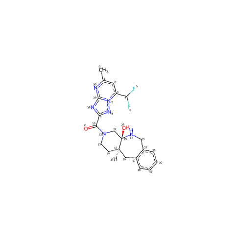 Cc1cc(C(F)F)n2nc(C(=O)N3CC[C@@H]4Cc5ccccc5CN[C@@]4(O)C3)nc2n1